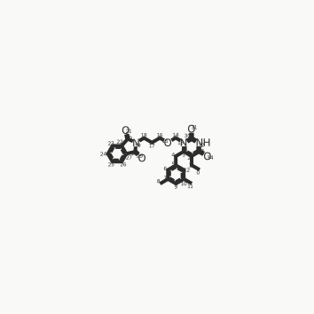 CCc1c(Cc2cc(C)cc(C)c2)n(COCCCN2C(=O)c3ccccc3C2=O)c(=O)[nH]c1=O